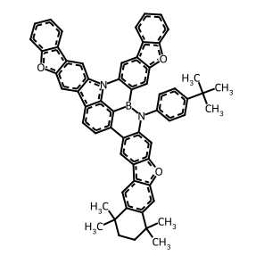 CC(C)(C)c1ccc(N2B3c4cc5oc6ccccc6c5cc4-n4c5cc6c(cc5c5ccc(c3c54)-c3cc4c(cc32)oc2cc3c(cc24)C(C)(C)CCC3(C)C)oc2ccccc26)cc1